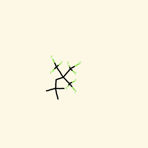 CC(C)(C)CC(C(F)(F)F)(C(F)(F)F)C(F)(F)F